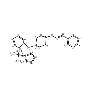 CC(C)(C)n1nnnc1[C@H](C1C=CC=CC1)N1CCN(C/C=C/c2ccccc2)CC1